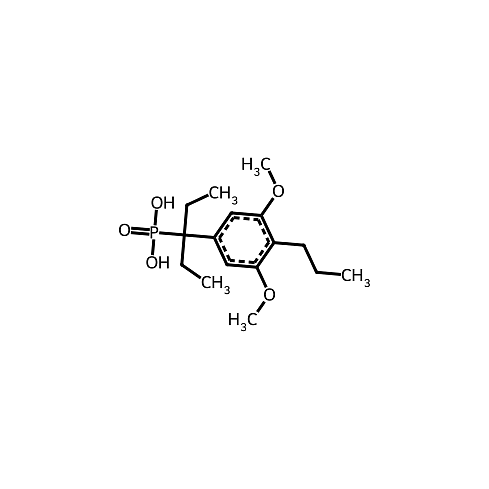 CCCc1c(OC)cc(C(CC)(CC)P(=O)(O)O)cc1OC